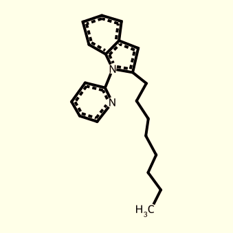 CCCCCCCCc1cc2ccccc2n1-c1ccccn1